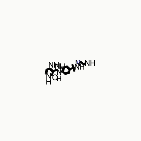 CC(C)(N/N=C\C=N)c1ccc(NC(=N)c2c(N)cc[nH]c2=O)cc1